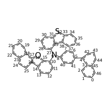 c1ccc2c(-c3ccc(N(c4cccc5c4oc4c6ccccc6ccc54)c4cccc5sc6ccccc6c45)cc3)cccc2c1